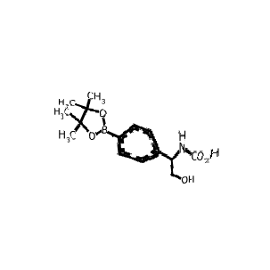 CC1(C)OB(c2ccc(C(CO)NC(=O)O)cc2)OC1(C)C